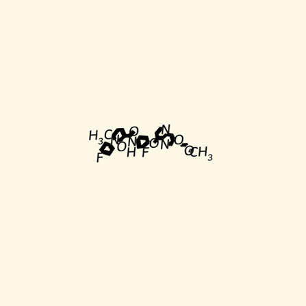 COCCOc1cnc2c(Oc3ccc(NC(=O)c4ccc(C)n(-c5ccc(F)cc5)c4=O)cc3F)ccnc2c1